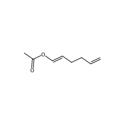 C=CCCC=COC(C)=O